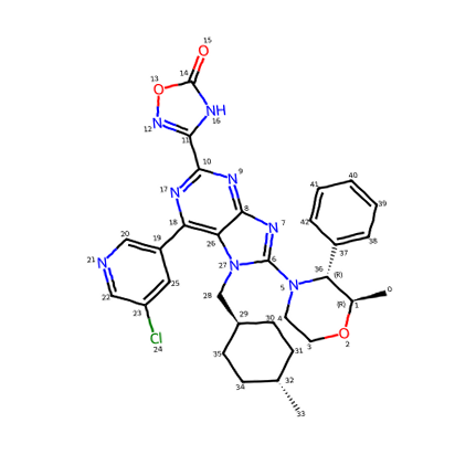 C[C@H]1OCCN(c2nc3nc(-c4noc(=O)[nH]4)nc(-c4cncc(Cl)c4)c3n2C[C@H]2CC[C@H](C)CC2)[C@@H]1c1ccccc1